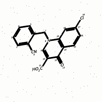 N#Cc1ccccc1Cn1cc(C(=O)O)c(=O)c2ccc(Cl)cc21